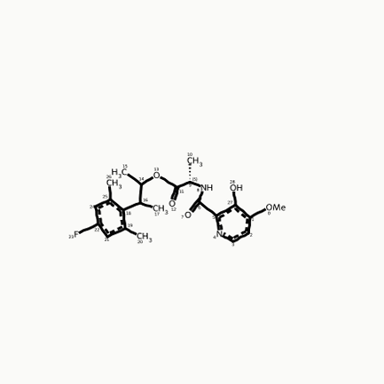 COc1ccnc(C(=O)N[C@@H](C)C(=O)OC(C)C(C)c2c(C)cc(F)cc2C)c1O